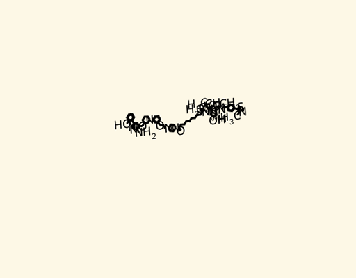 Cc1ncsc1-c1ccc([C@H](C)NC(=O)[C@@H]2C[C@@H](O)CN2C(=O)[C@@H](NC(=O)CCCCCCCCC(=O)N2CCN(CCOc3cccc(N4CCCC(Oc5cc(-c6ccccc6O)nnc5N)C4)c3)CC2)C(C)(C)C)cc1